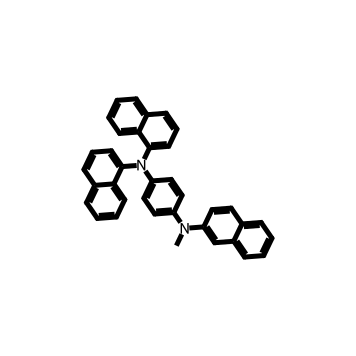 CN(c1ccc(N(c2cccc3ccccc23)c2cccc3ccccc23)cc1)c1ccc2ccccc2c1